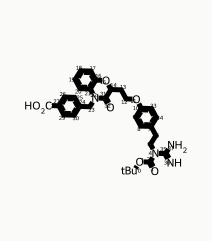 CC(C)(C)OC(=O)N(CCc1ccc(OCCC2Oc3ccccc3N(Cc3ccc(C(=O)O)cc3)C2=O)cc1)C(=N)N